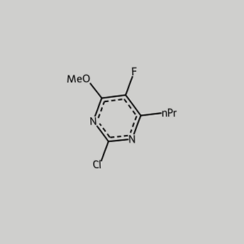 CCCc1nc(Cl)nc(OC)c1F